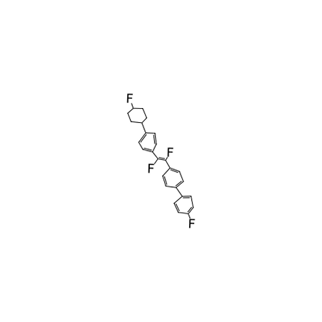 F/C(=C(/F)c1ccc(C2CCC(F)CC2)cc1)c1ccc(-c2ccc(F)cc2)cc1